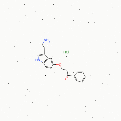 Cl.NCCc1c[nH]c2ccc(OCCC(=O)c3ccccc3)cc12